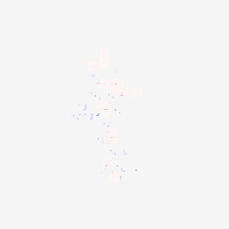 CC(=O)N([C@@H](CS)C(=O)NCC(=O)N[C@@H](CCCNC(=N)N)C(=O)NCC(=O)N[C@@H](CC(=O)O)C(=O)N[C@@H](CO)C(=O)N1CCC[C@H]1C(=O)N[C@@H](CS)C(=O)O)C12CC3CC(CC(C3)C1)C2